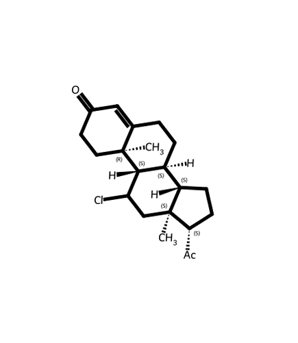 CC(=O)[C@H]1CC[C@H]2[C@@H]3CCC4=CC(=O)CC[C@]4(C)[C@H]3C(Cl)C[C@]12C